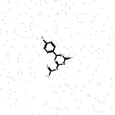 CCCC(=O)NC1=NC(c2ccc(F)cc2)NC(=O)N1